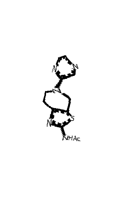 CC(=O)Nc1nc2c(s1)CN(c1cnccn1)CC2